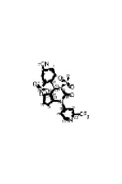 CS(=O)(=O)c1cc(C#N)ccc1[C@@H]1C2=C(CCC2=O)N(c2ccnc(C(F)(F)F)c2)C(=O)N1S(C)(=O)=O